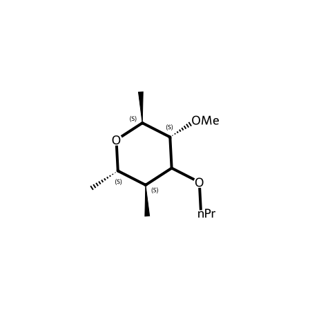 CCCOC1[C@@H](C)[C@H](C)O[C@@H](C)[C@@H]1OC